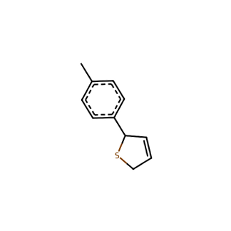 Cc1ccc(C2C=CCS2)cc1